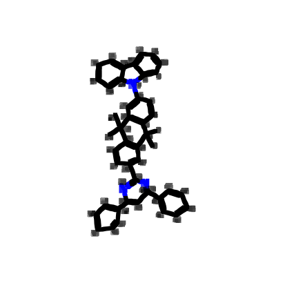 CC1(C)c2ccc(-n3c4ccccc4c4ccccc43)cc2C(C)(C)c2ccc(-c3nc(-c4ccccc4)cc(-c4ccccc4)n3)cc21